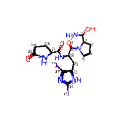 NC(O)C1CCCN1C(=O)C(Cc1[nH]c(I)nc1I)NC(=O)C1CCC(=O)N1